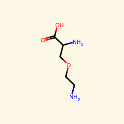 NCCOCC(N)C(=O)O